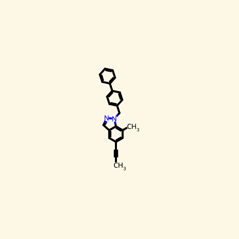 CC#Cc1cc(C)c2c(cnn2Cc2ccc(-c3ccccc3)cc2)c1